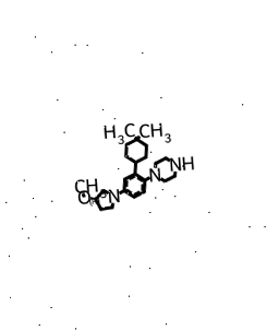 CO[C@@H]1CCN(c2ccc(N3CCNCC3)c(C3CCC(C)(C)CC3)c2)C1